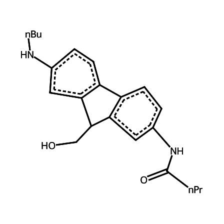 CCCCNc1ccc2c(c1)C(CO)c1cc(NC(=O)CCC)ccc1-2